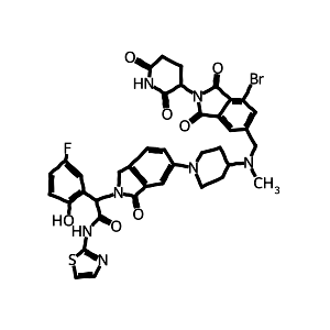 CN(Cc1cc(Br)c2c(c1)C(=O)N(C1CCC(=O)NC1=O)C2=O)C1CCN(c2ccc3c(c2)C(=O)N(C(C(=O)Nc2nccs2)c2cc(F)ccc2O)C3)CC1